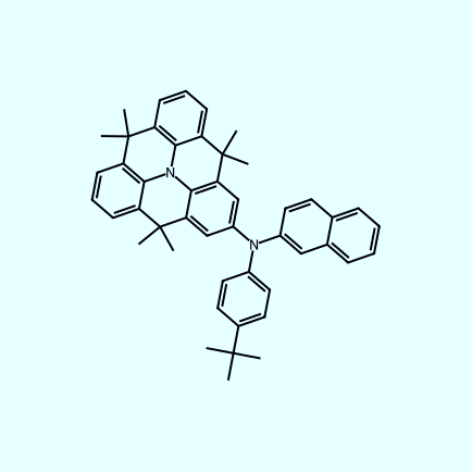 CC(C)(C)c1ccc(N(c2cc3c4c(c2)C(C)(C)c2cccc5c2N4c2c(cccc2C3(C)C)C5(C)C)c2ccc3ccccc3c2)cc1